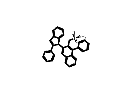 [NH2][Ti]([Cl])([Cl])[CH2]c1c(C2C(c3ccccc3)=Cc3ccccc32)cc2ccccc2c1-c1ccccc1